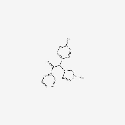 O=C(c1ccccc1)C(c1ccc(Cl)cc1)N1CN(Cl)C=N1